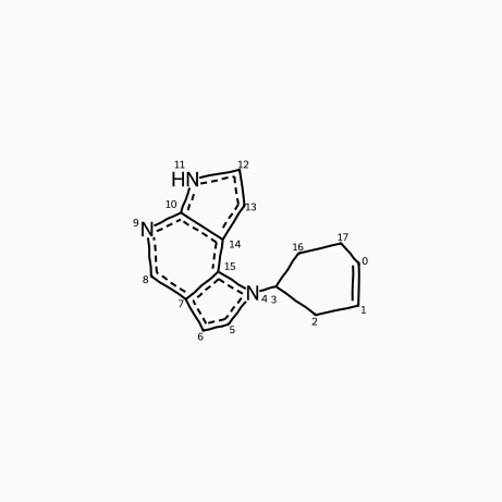 C1=CCC(n2ccc3cnc4[nH]ccc4c32)CC1